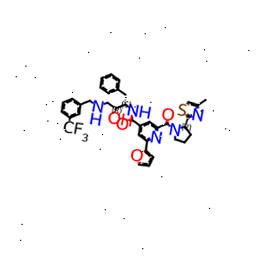 Cc1csc([C@H]2CCCN2C(=O)c2cc(C(=O)N[C@@H](Cc3ccccc3)[C@H](O)CNCc3cccc(C(F)(F)F)c3)cc(-c3ccco3)n2)n1